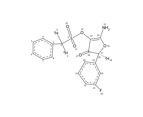 [2H]C([2H])(c1ccccc1)S(=O)(=O)OC1=C(N)O[C@@]([2H])(c2cccc(F)c2)C1=O